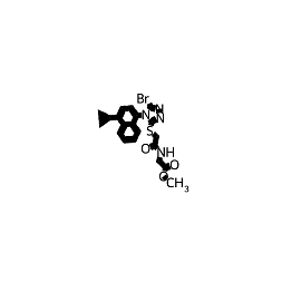 COC(=O)CNC(=O)CSc1nnc(Br)n1-c1ccc(C2CC2)c2ccccc12